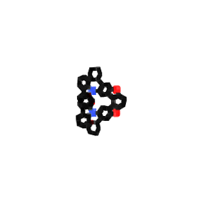 c1ccc2c(c1)c1ccccc1n2-c1cc2c(cc1C1CCCCC1)oc1ccc3oc4cc(C5CCCCC5)c(-n5c6ccccc6c6ccccc65)cc4c3c12